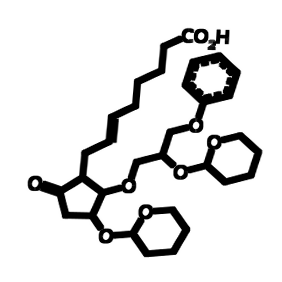 O=C(O)CCCC/C=C/CC1C(=O)CC(OC2CCCCO2)C1OCC(COc1ccccc1)OC1CCCCO1